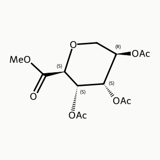 COC(=O)[C@H]1OC[C@@H](OC(C)=O)[C@H](OC(C)=O)[C@@H]1OC(C)=O